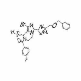 CC1c2c(Br)nc(-c3nc(COCc4ccccc4)ns3)n2CCN1C(=O)c1ccc(F)cc1